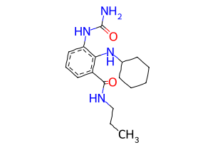 CCCNC(=O)c1cccc(NC(N)=O)c1NC1CCCCC1